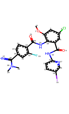 COc1cc(Cl)cc(C(=O)Nc2ccc(I)cn2)c1NC(=O)c1ccc(C(=N)N(C)C)cc1F